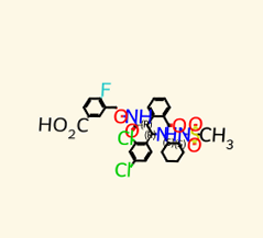 CS(=O)(=O)N[C@H]1CCCC[C@@H]1N1C(=O)c2ccccc2[C@@H](C(=O)NOCc2cc(C(=O)O)ccc2F)[C@@H]1c1ccc(Cl)cc1Cl